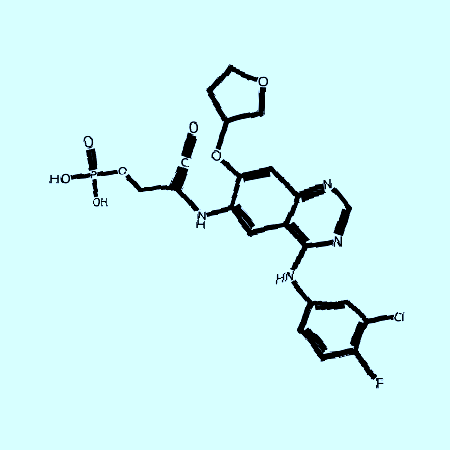 O=C=C(COP(=O)(O)O)Nc1cc2c(Nc3ccc(F)c(Cl)c3)ncnc2cc1OC1CCOC1